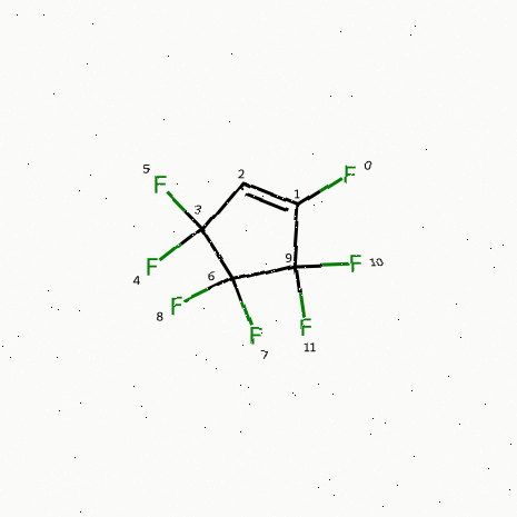 FC1=[C]C(F)(F)C(F)(F)C1(F)F